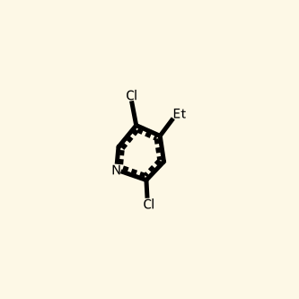 CCc1cc(Cl)ncc1Cl